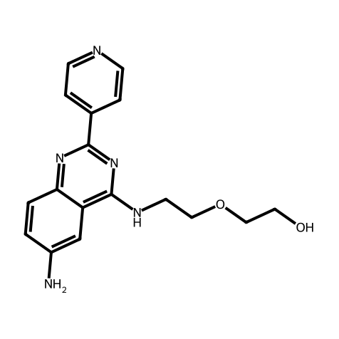 Nc1ccc2nc(-c3ccncc3)nc(NCCOCCO)c2c1